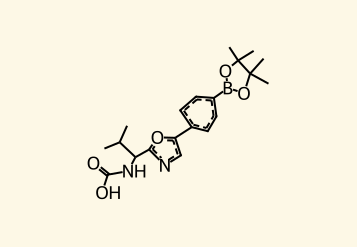 CC(C)C(NC(=O)O)c1ncc(-c2ccc(B3OC(C)(C)C(C)(C)O3)cc2)o1